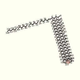 CCCCCC.CCCCCC.CCCCCC.CCCCCC.CCCCCC.CCCCCC.CCCCCC.CCCCCC.CCCCCC.CCCCCC.CCCCCC.CCCCCC.CCCCCC.CCCCCC.CCCCCC.CCCCCC.CCCCCC.CCCCCC.CCCCCC.CCCCCC.CCOCC